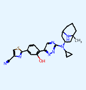 C[C@@]12CCCC(C[C@H](N(c3ncc(-c4ccc(-c5nc(C#N)cs5)cc4O)nn3)C3CC3)C1)N2